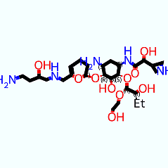 CC[C@@H](O)[C@H](OCCO)O[C@@H]1[C@@H](O)[C@H](O[C@@H]2CCC=C(CNCC(O)CCN)O2)[C@@H](N)C[C@H]1NC(=O)C(O)C1CNC1